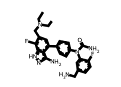 CCN(CC)Cc1cc(-c2ccc(N(C(N)=O)c3cc(CN)ccc3F)cc2)c2c(N)n[nH]c2c1F